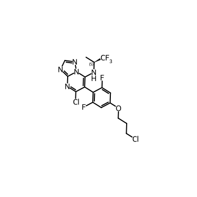 C[C@H](Nc1c(-c2c(F)cc(OCCCCl)cc2F)c(Cl)nc2ncnn12)C(F)(F)F